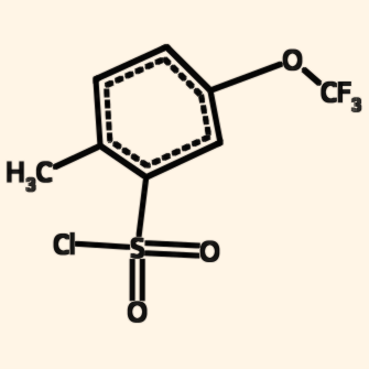 Cc1ccc(OC(F)(F)F)cc1S(=O)(=O)Cl